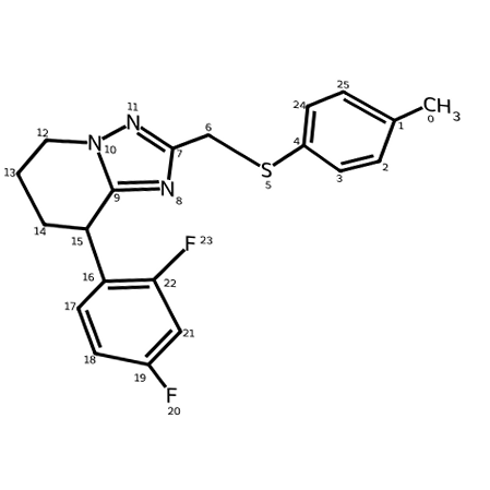 Cc1ccc(SCc2nc3n(n2)CCCC3c2ccc(F)cc2F)cc1